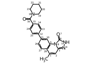 Cc1cc2n[nH]c(=O)n2c2cc(-c3ccc(C(=O)N4CCCCC4)cc3)ccc12